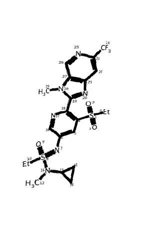 CCS(=O)(=O)c1cc(N=S(=O)(CC)N(C)C2CC2)cnc1-c1nc2cc(C(F)(F)F)ncc2n1C